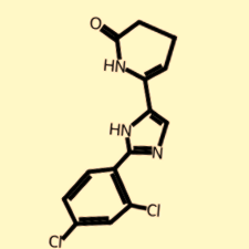 O=C1CCC=C(c2cnc(-c3ccc(Cl)cc3Cl)[nH]2)N1